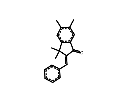 Cc1cc2c(cc1C)C(C)(C)/C(=C\c1ccccc1)C2=O